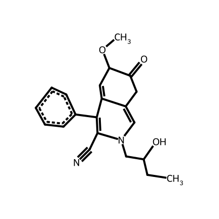 CCC(O)CN1C=C2CC(=O)C(OC)C=C2C(c2ccccc2)=C1C#N